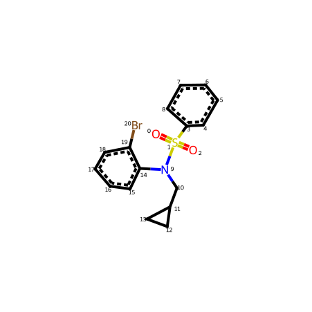 O=S(=O)(c1ccccc1)N(CC1CC1)c1ccccc1Br